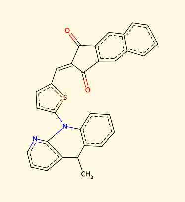 CC1c2ccccc2N(c2ccc(C=C3C(=O)c4cc5ccccc5cc4C3=O)s2)c2ncccc21